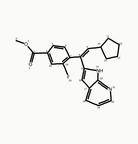 COC(=O)c1ccc(/C(=C/C2CCCC2)c2cc3cccnc3[nH]2)c(F)c1